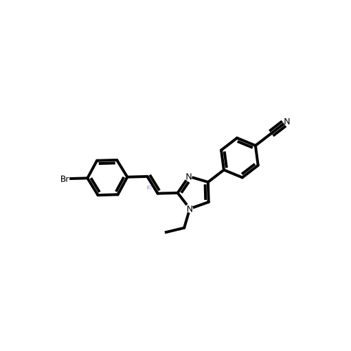 CCn1cc(-c2ccc(C#N)cc2)nc1/C=C/c1ccc(Br)cc1